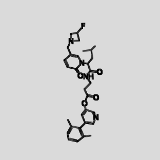 Cc1cccc(C)c1-c1cncc(OC(=O)CCNC(=O)C(CC(C)C)n2cc(CN3CC(F)C3)ccc2=O)c1